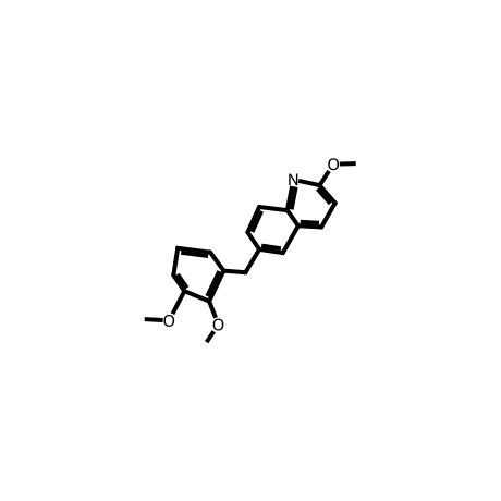 COc1ccc2cc(Cc3cccc(OC)c3OC)ccc2n1